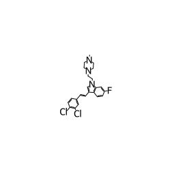 CN1CCN(CCn2cc(/C=C/c3ccc(Cl)c(Cl)c3)c3ccc(F)cc32)CC1